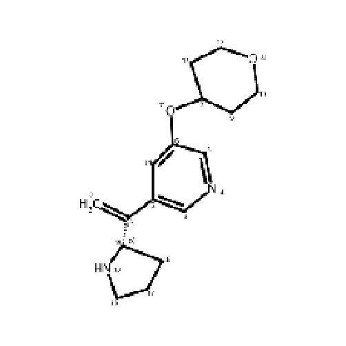 C=C(c1cncc(OC2CCOCC2)c1)[C@@H]1CCCN1